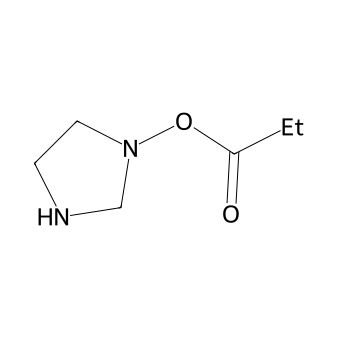 CCC(=O)ON1CCNC1